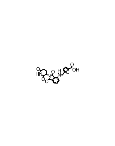 O=C1CCC(N2C(=O)c3cccc(NCc4ccc(C(=O)O)o4)c3C2=O)C(=O)N1